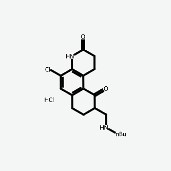 CCCCNCC1CCc2cc(Cl)c3c(c2C1=O)CCC(=O)N3.Cl